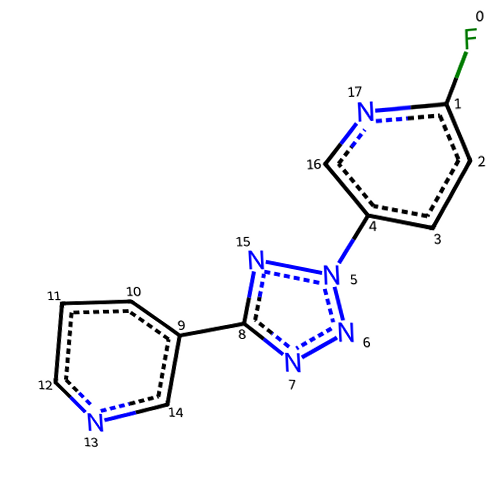 Fc1ccc(-n2nnc(-c3cccnc3)n2)cn1